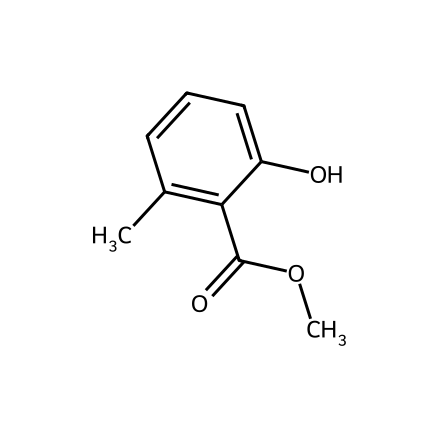 COC(=O)c1c(C)cccc1O